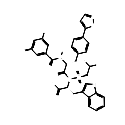 Cc1cc(C)cc(C(=O)N(C)[C@H](Cc2ccc(-c3ccno3)cc2)C(=O)N([C@@H](Cc2c[nH]c3ccccc23)C(N)=O)S(=O)(=O)CC(N)C(=O)O)c1